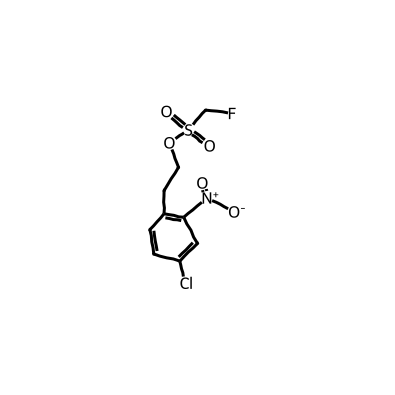 O=[N+]([O-])c1cc(Cl)ccc1CCOS(=O)(=O)CF